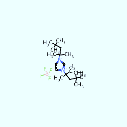 CC(C)(C)CC(C)(C)n1cc[n+](C(C)(C)CC(C)(C)C)c1.F[B-](F)(F)F